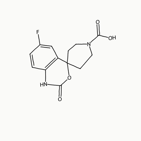 O=C1Nc2ccc(F)cc2C2(CCN(C(=O)O)CC2)O1